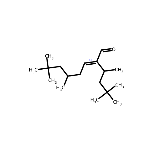 CC(C/C=C(/C=O)C(C)CC(C)(C)C)CC(C)(C)C